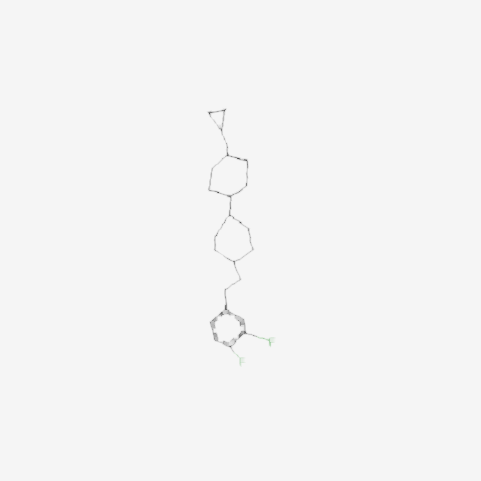 Fc1ccc(CCC2CCC(C3CCC(C4CC4)CC3)CC2)cc1F